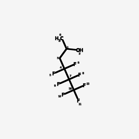 CC(O)CC(F)(F)C(F)(F)C(F)(F)F